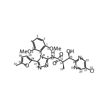 COc1cccc(OC)c1-n1c(NS(=O)(=O)[C@H](C)[C@@H](O)c2ncc(Cl)cn2)nnc1-c1ccc(C)o1